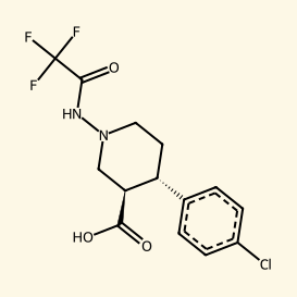 O=C(O)[C@H]1CN(NC(=O)C(F)(F)F)CC[C@@H]1c1ccc(Cl)cc1